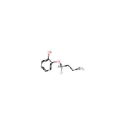 CCC[SiH]([O])Oc1ccccc1O